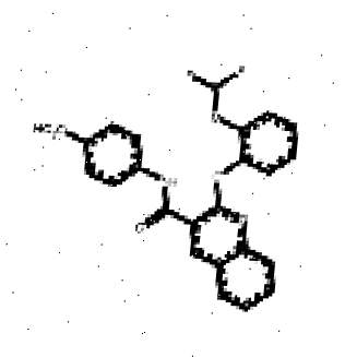 O=C(O)c1ccc(NC(=O)c2cc3ccccc3nc2Oc2ccccc2OC(F)F)cc1